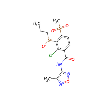 CCC[S+]([O-])c1c(S(C)(=O)=O)ccc(C(=O)Nc2nonc2C)c1Cl